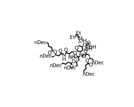 CCCCCCCCCCCCCC(=O)O[C@H](CCCCCCCCCCC)CC(=O)NC(=O)[C@@H](N)CO[C@@H]1O[C@H](CO)[C@@H](OP(=O)(O)O)[C@H](OC(=O)C[C@@H](CCCCCCCCCCC)OC(=O)CCCCCCCCCCCCC)[C@H]1NC(=O)C[C@@H](CCCCCCCCCCC)OC(=O)CCCCCCCCCCCCC.CCN(CC)CC